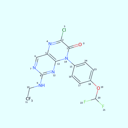 O=c1c(Cl)nc2cnc(NCC(F)(F)F)nc2n1-c1ccc(OC(F)F)cc1